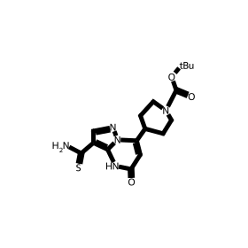 CC(C)(C)OC(=O)N1CCC(c2cc(=O)[nH]c3c(C(N)=S)cnn23)CC1